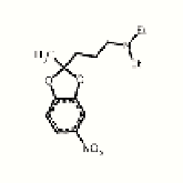 CCN(CC)CCCC1(C)Oc2ccc([N+](=O)[O-])cc2O1